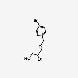 CCC(CO)COCc1ccc(Br)cc1